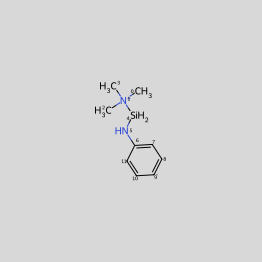 C[N+](C)(C)[SiH2]Nc1cc[c]cc1